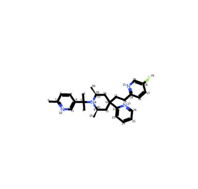 Cc1ccc(C(C)(C)N2[C@H](C)CC(CCc3ccc(F)cn3)(c3ccccn3)C[C@@H]2C)cn1